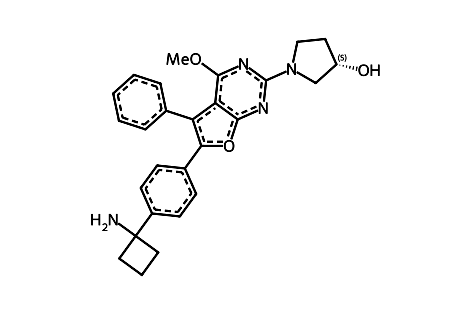 COc1nc(N2CC[C@H](O)C2)nc2oc(-c3ccc(C4(N)CCC4)cc3)c(-c3ccccc3)c12